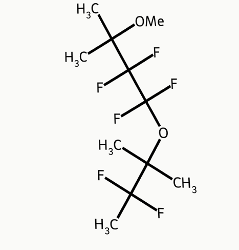 COC(C)(C)C(F)(F)C(F)(F)OC(C)(C)C(C)(F)F